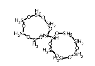 O1[SiH2]O[SiH2]O[SiH2]O[SiH]([SiH]2O[SiH2]O[SiH2]O[SiH2]O[SiH2]O[SiH2]O2)O[SiH2]O[SiH2]1